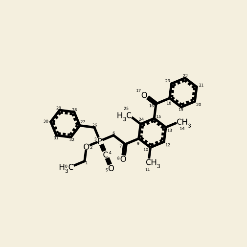 CCOP(=C=O)(CC(=O)c1c(C)cc(C)c(C(=O)c2ccccc2)c1C)Cc1ccccc1